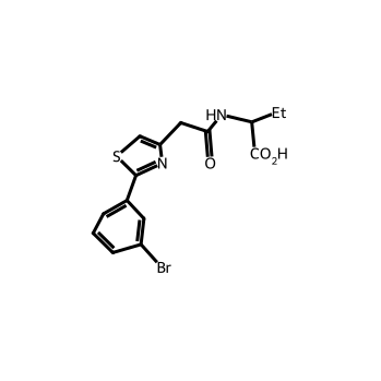 CCC(NC(=O)Cc1csc(-c2cccc(Br)c2)n1)C(=O)O